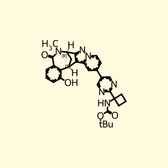 CN1C(=O)c2cccc(O)c2[C@H]2C[C@@H]1c1nn3ccc(-c4cnc(C5(NC(=O)OC(C)(C)C)CCC5)nc4)cc3c12